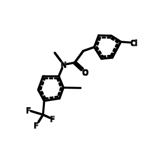 Cc1cc(C(F)(F)F)ccc1N(C)C(=O)Cc1ccc(Cl)cc1